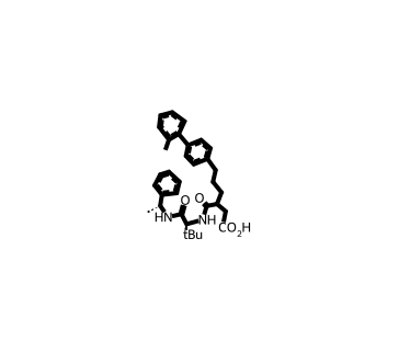 Cc1ccccc1-c1ccc(CCCC(CC(=O)O)C(=O)N[C@H](C(=O)N[C@H](C)c2ccccc2)C(C)(C)C)cc1